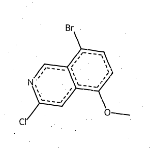 COc1ccc(Br)c2cnc(Cl)cc12